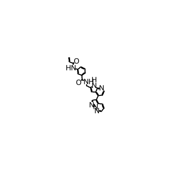 C=CC(=O)Nc1cccc(C(=O)NCc2cc3c(-c4cnn5ncccc45)ccnc3[nH]2)c1